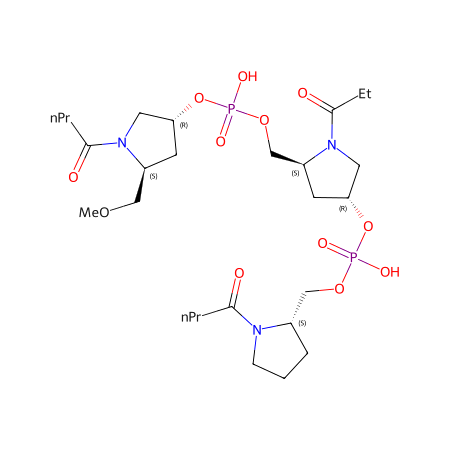 CCCC(=O)N1CCC[C@H]1COP(=O)(O)O[C@@H]1C[C@@H](COP(=O)(O)O[C@@H]2C[C@@H](COC)N(C(=O)CCC)C2)N(C(=O)CC)C1